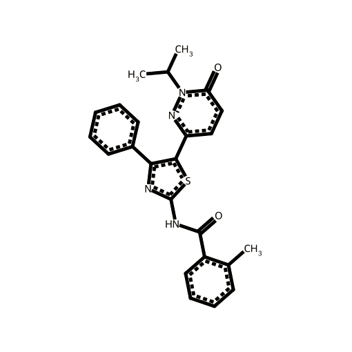 Cc1ccccc1C(=O)Nc1nc(-c2ccccc2)c(-c2ccc(=O)n(C(C)C)n2)s1